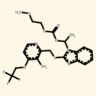 COCCOC(=O)OC(C)n1c(SCc2nccc(OCC(F)(F)F)c2C)nc2ccccc21